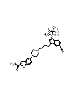 CC(C)(C)[Si](C)(C)n1cc(CCCCN2CCN(c3ccc4oc(C(N)=O)cc4c3)CC2)c2cc(C#N)ccc21